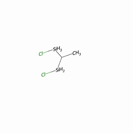 CC([SiH2]Cl)[SiH2]Cl